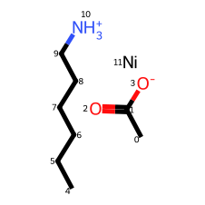 CC(=O)[O-].CCCCCC[NH3+].[Ni]